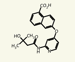 CC(C)(O)CC(=O)Nc1cc(Oc2ccc3c(C(=O)O)cccc3c2)ccn1